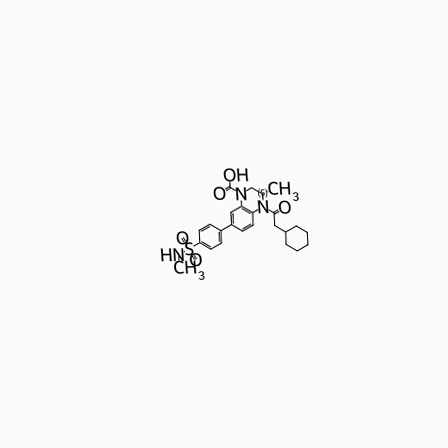 CNS(=O)(=O)c1ccc(-c2ccc3c(c2)N(C(=O)O)C[C@H](C)N3C(=O)CC2CCCCC2)cc1